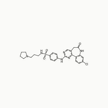 O=C1Cc2cnc(Nc3ccc(S(=O)(=O)NCCCN4CCCC4)cc3)nc2-c2ccc(Cl)cc2N1